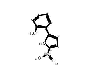 Cc1[c]cccc1-c1ccc([N+](=O)[O-])o1